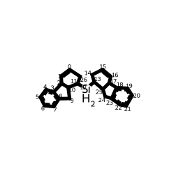 C1=CC2c3ccccc3CC2C([SiH2]C2CC=CC3c4ccccc4CC23)C1